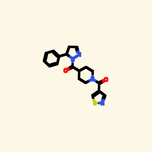 O=C(c1cnsc1)N1CCC(C(=O)N2N=CCC2c2ccccc2)CC1